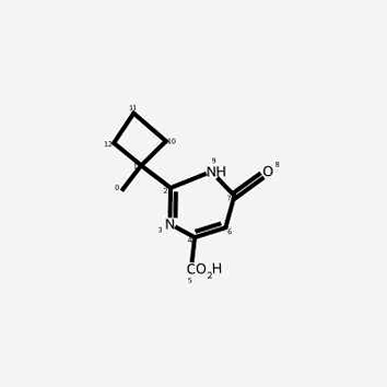 CC1(c2nc(C(=O)O)cc(=O)[nH]2)CCC1